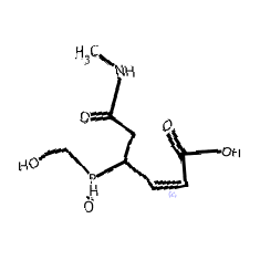 CNC(=O)CC(/C=C\C(=O)O)[PH](=O)CO